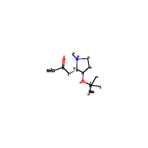 COC(=O)C[C@H]1C(O[Si](C)(C)C(C)(C)C)CCN1C